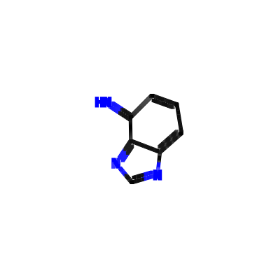 N=C1C=CC=C2N=CN=C12